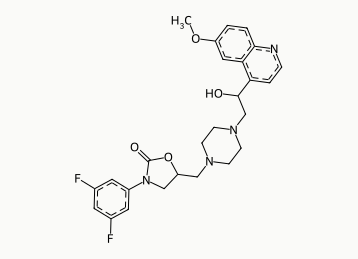 COc1ccc2nccc(C(O)CN3CCN(CC4CN(c5cc(F)cc(F)c5)C(=O)O4)CC3)c2c1